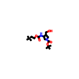 CC(C)(C)OC(=O)N1CC(CO)C(NC(=O)OCC[Si](C)(C)C)C1